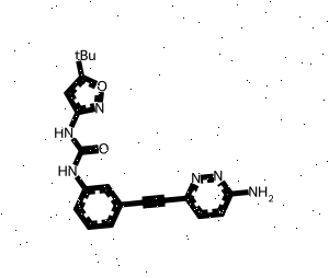 CC(C)(C)c1cc(NC(=O)Nc2cccc(C#Cc3ccc(N)nn3)c2)no1